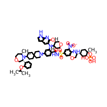 CC(C)Oc1ccccc1[C@@H]1COCC[C@H](C)N1C1CCC2(CC1)CCN(c1ccc(C(=O)NS(=O)(=O)c3cc4c(c([N+](=O)[O-])c3)N[C@H](C3CCC(C)(OP(=O)(O)O)CC3)CO4)c(N3c4cc5cc[nH]c5nc4O[C@H]4COCC[C@@H]43)c1)CC2